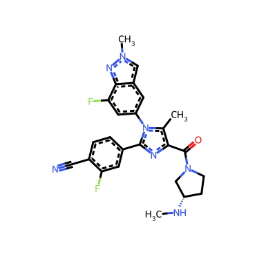 CN[C@H]1CCN(C(=O)c2nc(-c3ccc(C#N)c(F)c3)n(-c3cc(F)c4nn(C)cc4c3)c2C)C1